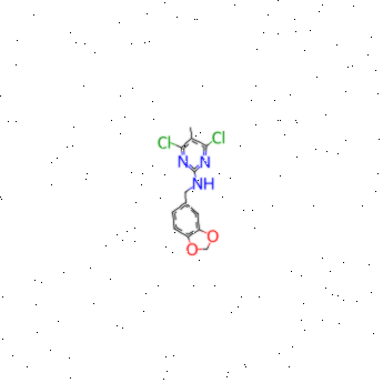 Cc1c(Cl)nc(NCc2ccc3c(c2)OCO3)nc1Cl